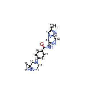 Cc1cn2cc(NC(=O)c3ccc(N4CCNC5(CC5)C4)cc3)ncc2n1